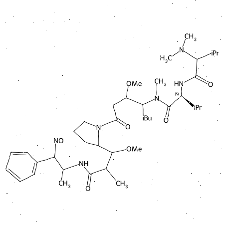 CCC(C)C(C(CC(=O)N1CCCC1C(OC)C(C)C(=O)NC(C)C(N=O)c1ccccc1)OC)N(C)C(=O)[C@@H](NC(=O)C(C(C)C)N(C)C)C(C)C